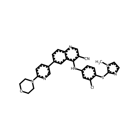 Cn1ccnc1Sc1ccc(Nc2c(C#N)cnc3ccc(-c4ccc(N5CCOCC5)nc4)cc23)cc1Cl